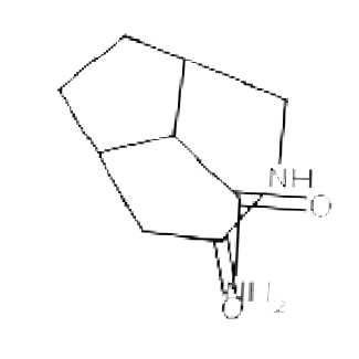 NC(=O)C1C2CCC1CC(=O)NC2